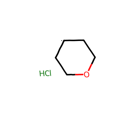 Cl.[CH]1CCOCC1